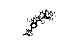 Cc1csc(-c2ccc3c(C(=O)N[C@H]4C[C@@H]5C[C@H]4CN5)n[nH]c3c2)n1